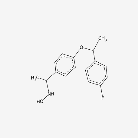 CC(NO)c1ccc(OC(C)c2ccc(F)cc2)cc1